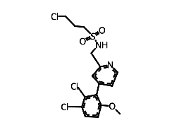 COc1ccc(Cl)c(Cl)c1-c1ccnc(CNS(=O)(=O)CCCCl)c1